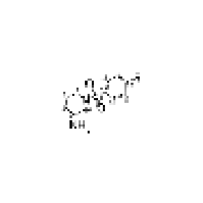 NC1CCCN(S(=O)(=O)c2ccc(F)cc2)C1